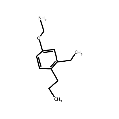 CCCc1ccc(OCN)cc1CC